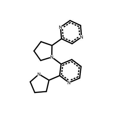 c1cnc(C2CCC[N]2)c(N2CCCC2c2cnccn2)c1